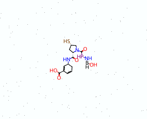 O=C(O)C1=CC(NC(=O)[C@@H]2C[C@H](S)CN2C(=O)PNBO)CC=C1